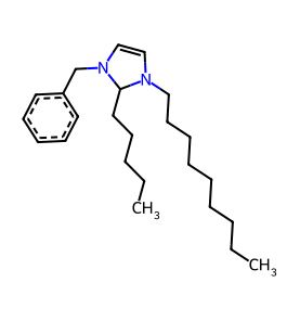 CCCCCCCCCN1C=CN(Cc2ccccc2)C1CCCCC